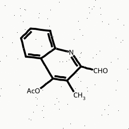 CC(=O)Oc1c(C)c(C=O)nc2ccccc12